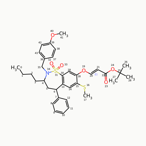 CCCCC1CC(c2ccccc2)c2cc(SC)c(O/C=C/C(=O)OC(C)(C)C)cc2S(=O)(=O)N1Cc1ccc(OC)cc1